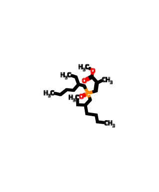 CCCCC(CC)CP(=O)(C=C(C)C(=O)OC)CC(CC)CCCC